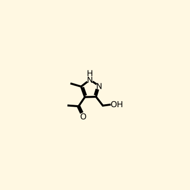 CC(=O)c1c(CO)n[nH]c1C